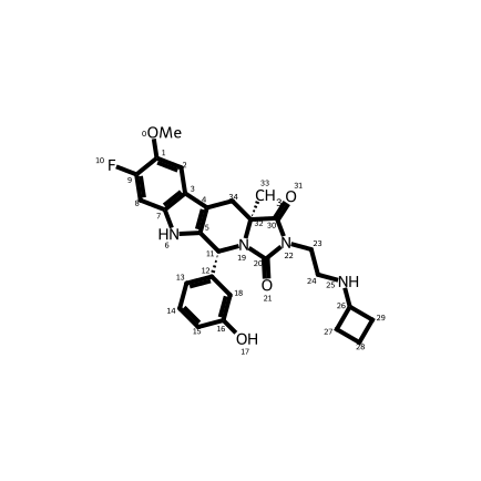 COc1cc2c3c([nH]c2cc1F)[C@@H](c1cccc(O)c1)N1C(=O)N(CCNC2CCC2)C(=O)[C@]1(C)C3